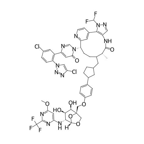 COc1cc(N[C@H]2[C@H]3OC[C@](COc4ccc(C5CCC(CC6CC[C@H](n7cnc(-c8cc(Cl)ccc8-n8cc(Cl)nn8)cc7=O)c7cc(ccn7)-c7c(cnn7C(F)F)NC(=O)[C@@H]6C)C5)cc4)(O3)[C@H](O)[C@@H]2O)nc(C(F)(F)F)n1